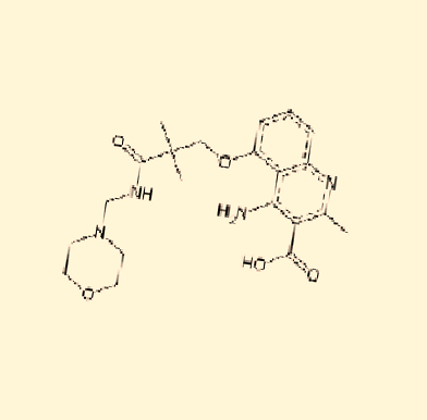 Cc1nc2cccc(OCC(C)(C)C(=O)NCN3CCOCC3)c2c(N)c1C(=O)O